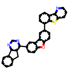 c1ccc2c(c1)Cc1c(-c3ccc4oc5ccc(-c6cccc7c6sc6cccnc67)cc5c4c3)ncnc1-2